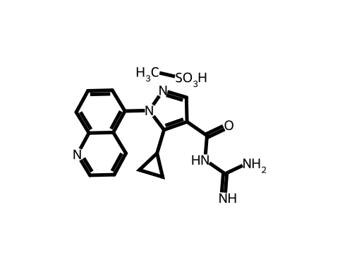 CS(=O)(=O)O.N=C(N)NC(=O)c1cnn(-c2cccc3ncccc23)c1C1CC1